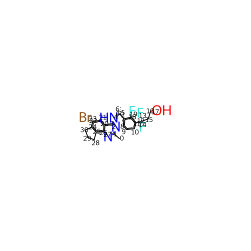 Cc1nc(N[C@H](C)c2cccc(C(F)(F)CCO)c2F)c2cc(Br)c3c(c2n1)CCC3